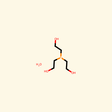 O.OCCP(CCO)CCO